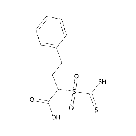 O=C(O)C(CCc1ccccc1)S(=O)(=O)C(=S)S